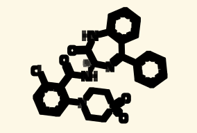 O=C(N[C@H]1N=C(c2ccccc2)c2ccccc2NC1=O)c1c(Cl)cccc1N1CCS(=O)(=O)CC1